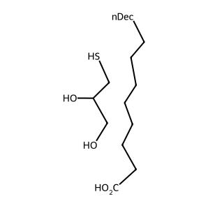 CCCCCCCCCCCCCCCCCC(=O)O.OCC(O)CS